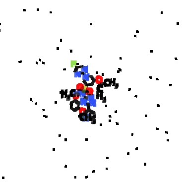 COc1cccc(OC)c1-n1c(NS(=O)(=O)[C@@H]2C[C@H](OC(C)C)CN(c3ncc(F)cn3)C2)nnc1-c1cccnc1